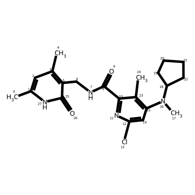 Cc1cc(C)c(CNC(=O)c2nc(Cl)cc(N(C)C3CCCC3)c2C)c(=O)[nH]1